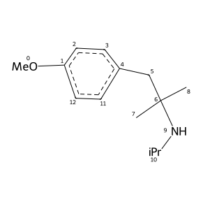 COc1ccc(CC(C)(C)NC(C)C)cc1